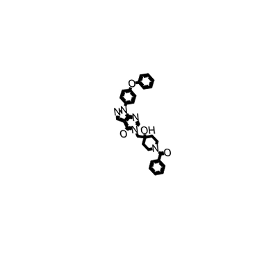 O=C(c1ccccc1)N1CCC(O)(Cn2cnc3c(cnn3-c3ccc(Oc4ccccc4)cc3)c2=O)CC1